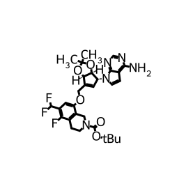 CC(C)(C)OC(=O)N1CCc2c(F)c(C(F)F)cc(OCC3=C[C@@H](n4ccc5c(N)ncnc54)[C@@H]4OC(C)(C)O[C@H]34)c2C1